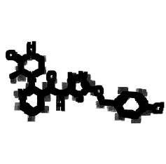 C[C@H]1C(=O)NCCN1c1ncccc1C(=O)Nc1nnc(OCc2ccc(Cl)cc2)s1